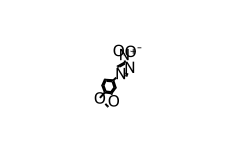 O=[N+]([O-])c1cn(-c2ccc3c(c2)OCO3)cn1